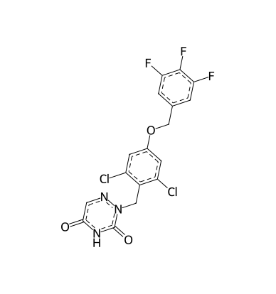 O=c1cnn(Cc2c(Cl)cc(OCc3cc(F)c(F)c(F)c3)cc2Cl)c(=O)[nH]1